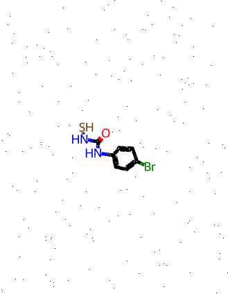 O=C(NS)Nc1ccc(Br)cc1